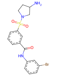 NC1CCN(S(=O)(=O)c2cccc(C(=O)Nc3cccc(Br)c3)c2)C1